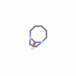 O=C1N2CCCCCN1CC2